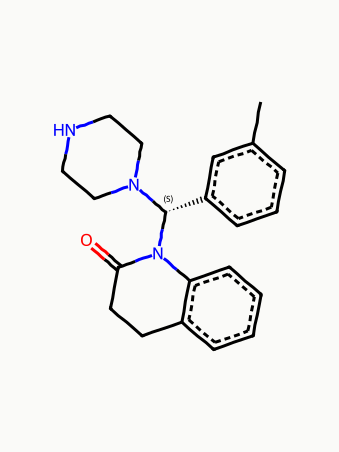 Cc1cccc([C@@H](N2CCNCC2)N2C(=O)CCc3ccccc32)c1